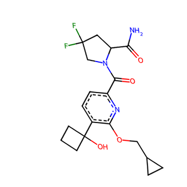 NC(=O)C1CC(F)(F)CN1C(=O)c1ccc(C2(O)CCC2)c(OCC2CC2)n1